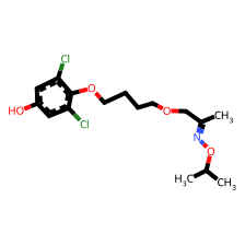 CC(COCCCCOc1c(Cl)cc(O)cc1Cl)=NOC(C)C